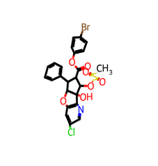 CS(=O)(=O)OC1C(C(=O)Oc2ccc(Br)cc2)C(c2ccccc2)C2Oc3cc(Cl)cnc3C12O